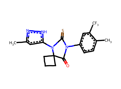 Cc1cc(N2C(=S)N(c3ccc(C)c(C(F)(F)F)c3)C(=O)C23CCC3)[nH]n1